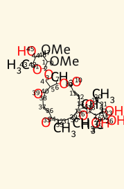 COC1C(OCC2C(C)OC(=O)/C=C/C(C)C(OC3OC(C)CC(O)(C(C)O)C3O)C(C)CC(C)C(=O)/C=C/C3OC32)OC(C)C(O)C1OC